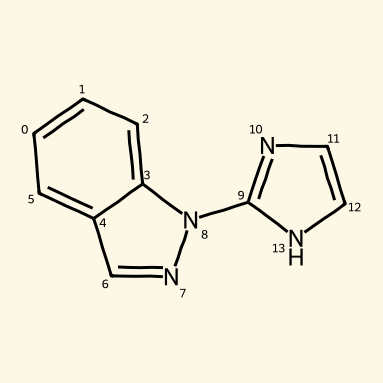 c1ccc2c(c1)cnn2-c1ncc[nH]1